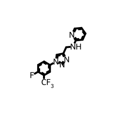 Fc1ccc(-n2cc(CNc3ccccn3)nn2)cc1C(F)(F)F